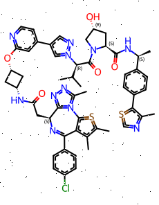 Cc1ncsc1-c1ccc([C@H](C)NC(=O)[C@@H]2C[C@@H](O)CN2C(=O)[C@@H](C(C)C)n2cc(-c3ccnc(O[C@H]4C[C@@H](NC(=O)C[C@@H]5N=C(c6ccc(Cl)cc6)c6c(sc(C)c6C)-n6c(C)nnc65)C4)c3)cn2)cc1